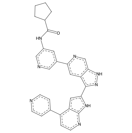 O=C(Nc1cncc(-c2cc3c(-c4cc5c(-c6ccncc6)ccnc5[nH]4)n[nH]c3cn2)c1)C1CCCC1